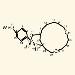 COc1ccc(P2(=O)OC3CCCCCCCCCCCC[C@H](C3)O2)cc1